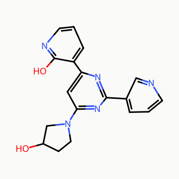 Oc1ncccc1-c1cc(N2CCC(O)C2)nc(-c2cccnc2)n1